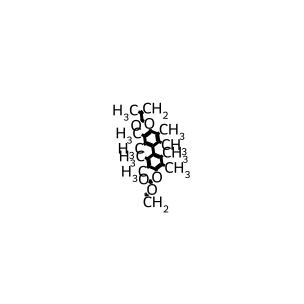 C=COC(=O)Oc1c(C)c(C)c(-c2c(C)c(C)c(OC(=O)C(=C)C)c(C)c2C)c(C)c1C